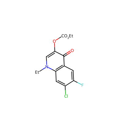 CCOC(=O)Oc1cn(CC)c2cc(Cl)c(F)cc2c1=O